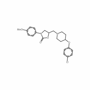 COc1ccc(N2CC(CN3CCC(Oc4ccc(Cl)cc4)CC3)OC2=O)cc1